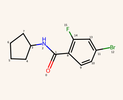 O=C(NC1CCCC1)c1ccc(Br)cc1F